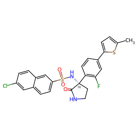 Cc1ccc(-c2ccc([C@@]3(NS(=O)(=O)c4ccc5cc(Cl)ccc5c4)CCNC3=O)c(F)c2)s1